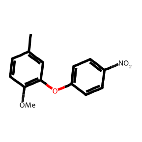 COc1ccc(C)cc1Oc1ccc([N+](=O)[O-])cc1